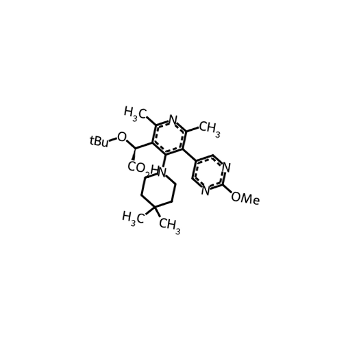 COc1ncc(-c2c(C)nc(C)c([C@H](OC(C)(C)C)C(=O)O)c2N2CCC(C)(C)CC2)cn1